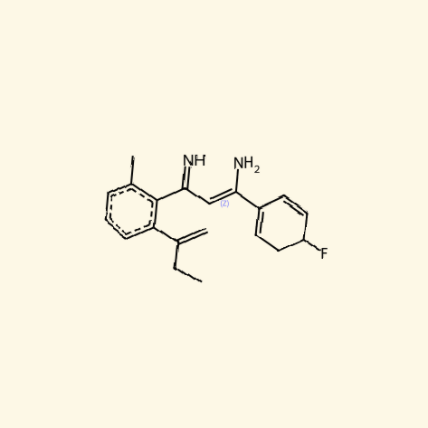 C=C(CC)c1cccc(C)c1C(=N)/C=C(\N)C1=CCC(F)C=C1